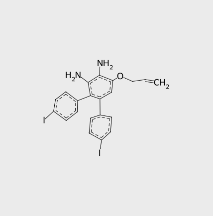 C=CCOc1cc(-c2ccc(I)cc2)c(-c2ccc(I)cc2)c(N)c1N